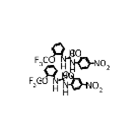 O=C(Nc1ccc([N+](=O)[O-])cc1O)Nc1ccccc1OC(F)(F)F.O=C(Nc1ccc([N+](=O)[O-])cc1O)Nc1ccccc1OC(F)(F)F